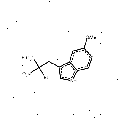 CCOC(=O)C(CC)(Cc1c[nH]c2ccc(OC)cc12)[N+](=O)[O-]